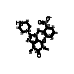 Cn1c(=O)c2c(nc(N3CCNCC3)n2Cc2c(F)cccc2[N+](=O)[O-])n(C)c1=O